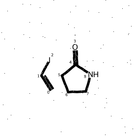 C=CI.O=C1CCCN1